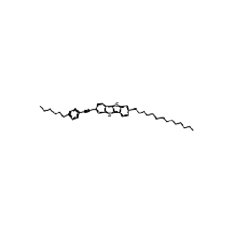 CCCCCCCCCCCCCCc1ccc2c(c1)sc1c3ccc(C#Cc4ccc(CCCCCC)cc4)cc3sc21